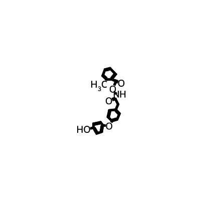 Cc1ccccc1C(=O)ONC(=O)Cc1ccc(Oc2ccc(O)cc2)cc1